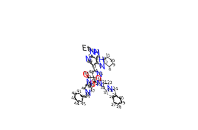 CCn1ncc2c(NC3CCCCC3)c(C3=NOC(C(=O)N4C5CN(Cc6ccccc6)CC54)(C(=O)N4C5CN(Cc6ccccc6)CC54)C3)cnc21